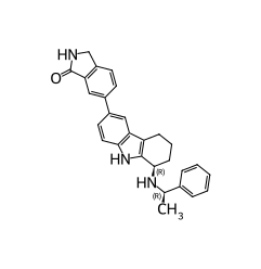 C[C@@H](N[C@@H]1CCCc2c1[nH]c1ccc(-c3ccc4c(c3)C(=O)NC4)cc21)c1ccccc1